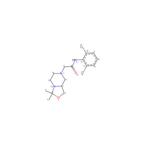 CC1(C)OCC2CN(CC(=O)Nc3c(Cl)cccc3Cl)CCN21